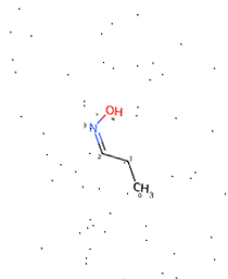 CC/C=N\O